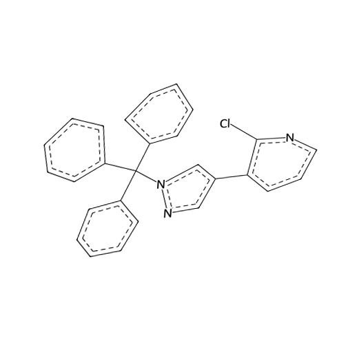 Clc1ncccc1-c1cnn(C(c2ccccc2)(c2ccccc2)c2ccccc2)c1